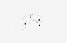 CCCC[N+](CCCC)(CCCC)CCCC.O=P([O-])(O)O.O=S(=O)([O-])O.[K+]